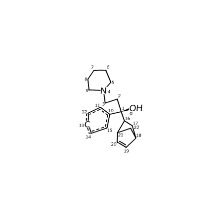 O[C@](CCN1CCCCC1)(c1ccccc1)C1CC2C=CC1C2